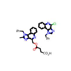 CC(C)Cn1cnc2c(Cl)nc3ccccc3c21.Cc1nc2c(COC(=O)CCC(=O)O)nc3ccccc3c2n1CC(C)C